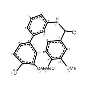 CCC(Nc1cncc(-c2ccc(O)c(OC)c2)n1)c1ccc(OC)c(OC)c1